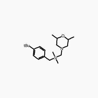 CC1CN(C[Si](C)(C)Cc2ccc(C(C)(C)C)cc2)CC(C)O1